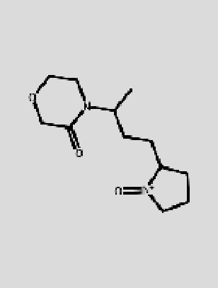 CC(CCC1CCC[N+]1=O)N1CCOCC1=O